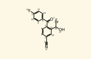 N#Cc1ccc(C(=O)c2ccc(F)cc2)c(C(O)Br)c1